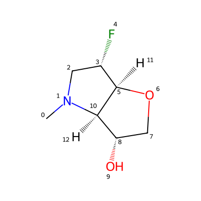 CN1C[C@H](F)[C@H]2OC[C@H](O)[C@H]21